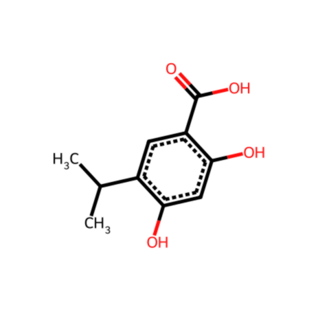 CC(C)c1cc(C(=O)O)c(O)cc1O